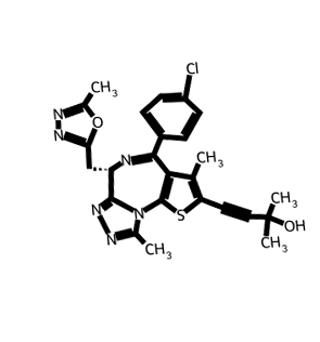 Cc1nnc(C[C@@H]2N=C(c3ccc(Cl)cc3)c3c(sc(C#CC(C)(C)O)c3C)-n3c(C)nnc32)o1